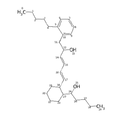 CCCCCc1ccccc1CC(O)/C=C/C=C/C1CCCCC1C(O)CCCC